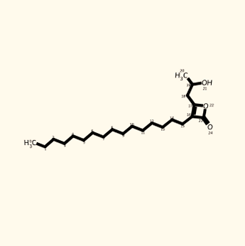 CCCCCCCCCCCCCCCCC1=C(CC(C)O)OC1=O